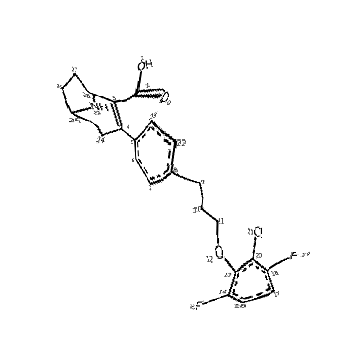 O=C(O)C1=C(c2ccc(CCCOc3c(F)ccc(F)c3Cl)cc2)CC2CCC1N2